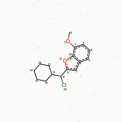 COc1cccc2cc(C(Cl)C3CCCCC3)oc12